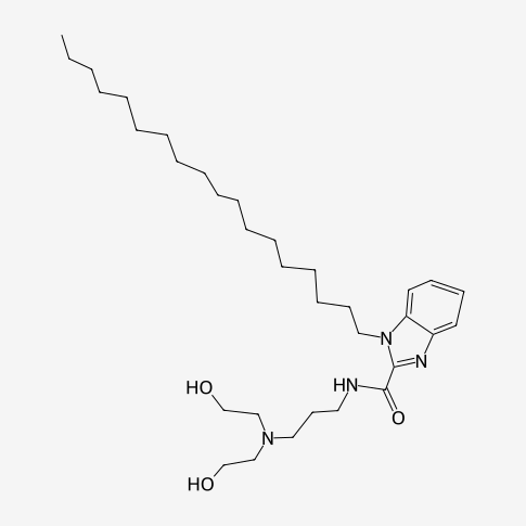 CCCCCCCCCCCCCCCCCCn1c(C(=O)NCCCN(CCO)CCO)nc2ccccc21